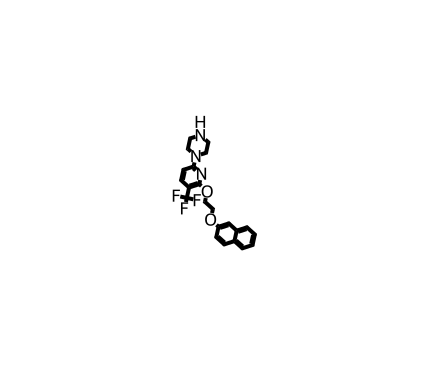 FC(F)(F)c1ccc(N2CCNCC2)nc1OCCOc1ccc2ccccc2c1